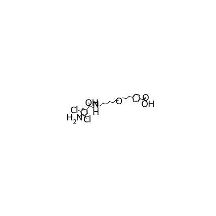 Nc1c(Cl)cc(C(O)CNCCCCCCOCCCc2ccc(C(=O)O)cc2)cc1Cl